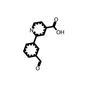 O=Cc1cccc(-c2cc(C(=O)O)ccn2)c1